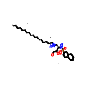 CCCCCCCCCCCCCCCCCCNC[C@H](NS(=O)(=O)c1ccc2ccccc2c1)[C@@H](O)C=O